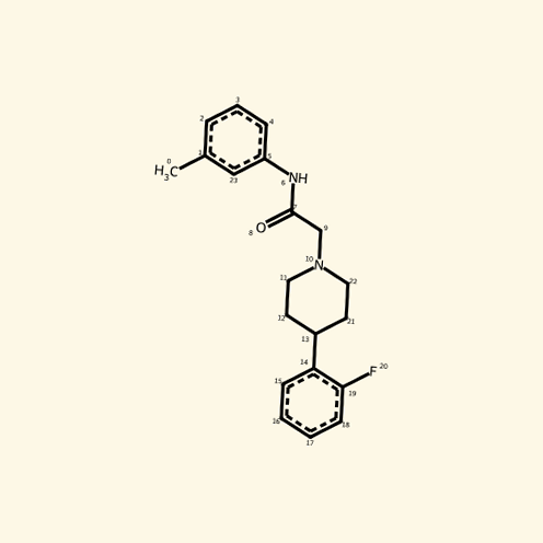 Cc1cccc(NC(=O)CN2CCC(c3ccccc3F)CC2)c1